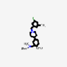 CCCC(C)N(C)Cc1cc(C2CCN(Cc3cc(C)cc(F)c3)CC2)ccc1C=O